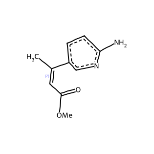 COC(=O)/C=C(/C)c1ccc(N)nc1